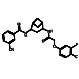 N#Cc1cccc(C(=O)NC2CC(NC(=O)COc3ccc(Cl)c(F)c3)C3CC2C3)c1